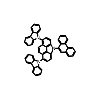 c1ccc2c(c1)cc(-n1c3ccc(-n4c5ccccc5c5ccccc54)c4ccc5c(-n6c7ccccc7c7ccccc76)ccc1c5c43)c1ccccc12